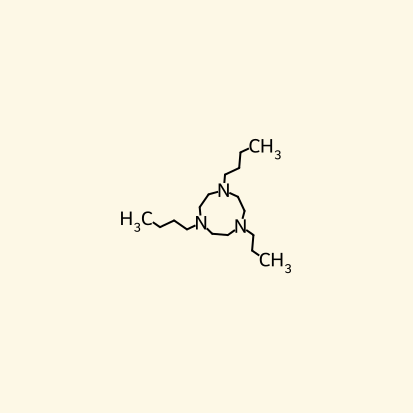 CCCCN1CCN(CCC)CCN(CCCC)CC1